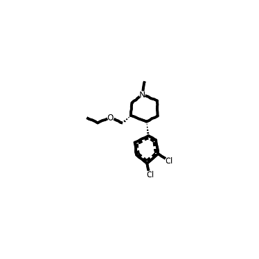 CCOC[C@@H]1CN(C)CC[C@@H]1c1ccc(Cl)c(Cl)c1